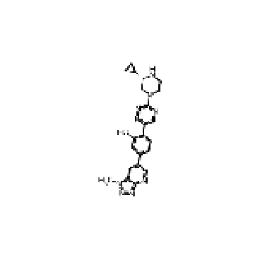 Cn1nnc2ncc(-c3ccc(-c4cnc(N5CCN[C@@H](C6CC6)C5)nn4)c(O)c3)cc21